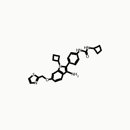 Nc1c(-c2ccc(NC(=O)NC3CCC3)cc2)n(C2CCC2)c2cc(OCc3nccs3)ccc12